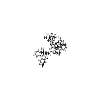 C[C@@H](CNC(=O)c1[nH]c2ccccc2c1-c1ccc(F)cc1)CC(CNC(=O)OC(C)(C)C)CO[Si](c1ccccc1)(c1ccccc1)C(C)(C)C